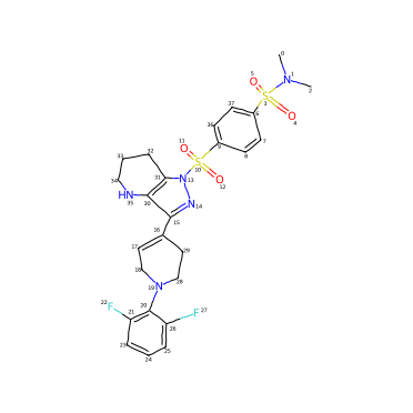 CN(C)S(=O)(=O)c1ccc(S(=O)(=O)n2nc(C3=CCN(c4c(F)cccc4F)CC3)c3c2CCCN3)cc1